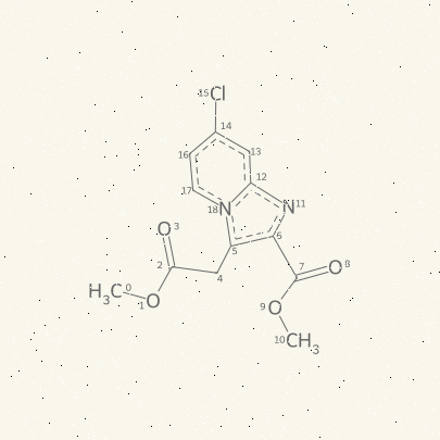 COC(=O)Cc1c(C(=O)OC)nc2cc(Cl)ccn12